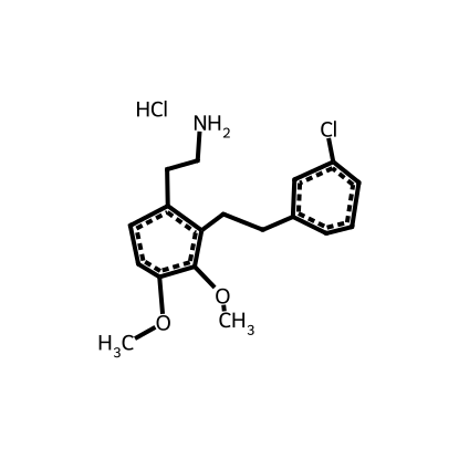 COc1ccc(CCN)c(CCc2cccc(Cl)c2)c1OC.Cl